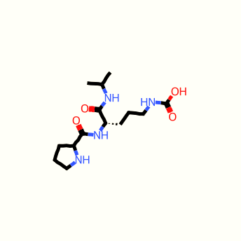 CC(C)NC(=O)[C@H](CCCNC(=O)O)NC(=O)C1CCCN1